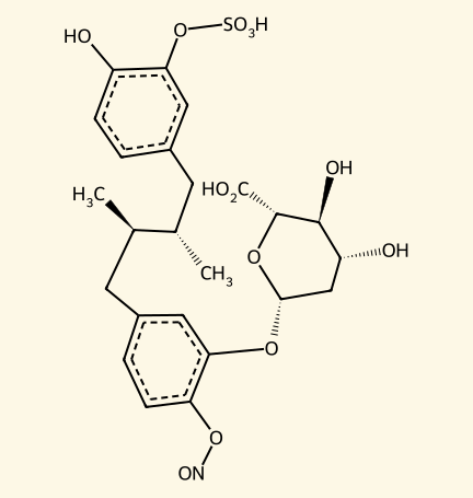 C[C@H](Cc1ccc(ON=O)c(O[C@H]2C[C@@H](O)[C@H](O)[C@@H](C(=O)O)O2)c1)[C@@H](C)Cc1ccc(O)c(OS(=O)(=O)O)c1